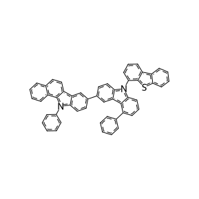 c1ccc(-c2cccc3c2c2cc(-c4ccc5c(c4)c4ccc6ccccc6c4n5-c4ccccc4)ccc2n3-c2cccc3c2sc2ccccc23)cc1